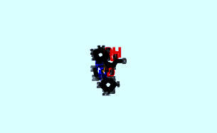 CC/C=C(\CC(=O)O)P1(=O)N(c2ccccc2)CCN1c1ccccc1